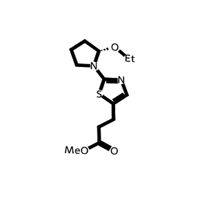 CCO[C@H]1CCCN1c1ncc(CCC(=O)OC)s1